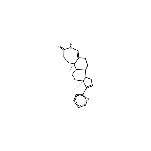 C[C@]12CCC(=O)NC=C1CCC1C2CC[C@]2(C)C(c3cnccn3)=CCC12